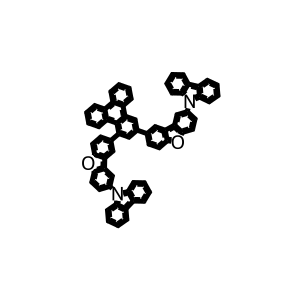 c1ccc2c(c1)c1ccccc1c1c(-c3ccc4oc5ccc(-n6c7ccccc7c7ccccc76)cc5c4c3)cc(-c3ccc4oc5ccc(-n6c7ccccc7c7ccccc76)cc5c4c3)cc21